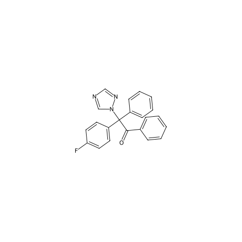 O=C(c1ccccc1)C(c1ccccc1)(c1ccc(F)cc1)n1cncn1